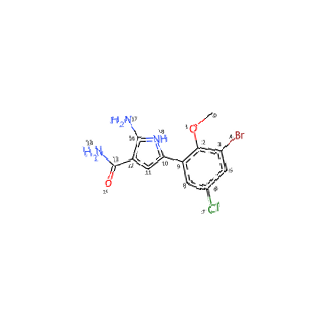 COc1c(Br)cc(Cl)cc1-c1cc(C(N)=O)c(N)[nH]1